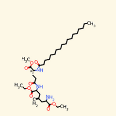 C=C(CC(N)C(=O)OCC)CC(NC(=O)CC[C@@H](NC(=O)CCCCCCCCCCCCCCCCC)C(=O)OC)C(=O)OCC